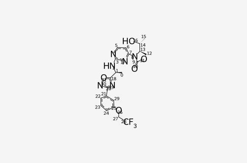 C[C@H](Nc1nccc(N2C(=O)OC[C@@H]2[C@@H](C)O)n1)c1nc(-c2cccc(OCC(F)(F)F)c2)no1